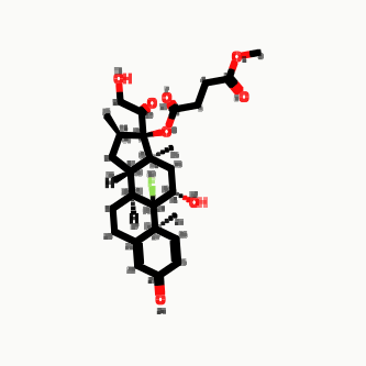 COC(=O)CCC(=O)O[C@]1(C(=O)CO)[C@H](C)C[C@H]2[C@@H]3CCC4=CC(=O)C=C[C@]4(C)[C@@]3(F)[C@@H](O)C[C@@]21C